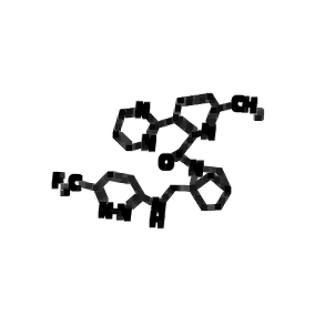 Cc1ccc(-c2ncccn2)c(C(=O)N2CC3CCC2(CNc2ccc(C(F)(F)F)nn2)C3)n1